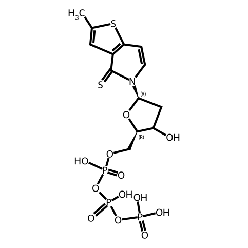 Cc1cc2c(=S)n([C@H]3CC(O)[C@@H](COP(=O)(O)OP(=O)(O)OP(=O)(O)O)O3)ccc2s1